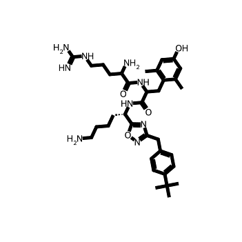 Cc1cc(O)cc(C)c1CC(NC(=O)C(N)CCCNC(=N)N)C(=O)N[C@@H](CCCCN)c1nc(Cc2ccc(C(C)(C)C)cc2)no1